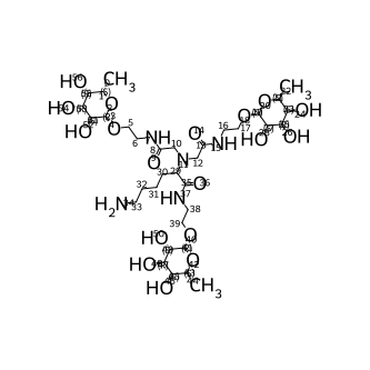 C[C@@H]1O[C@@H](OCCNC(=O)CN(CC(=O)NCCO[C@H]2O[C@@H](C)[C@@H](O)[C@@H](O)[C@@H]2O)C(CCCCN)C(=O)NCCO[C@@H]2O[C@@H](C)[C@@H](O)[C@@H](O)[C@@H]2O)[C@@H](O)[C@H](O)[C@@H]1O